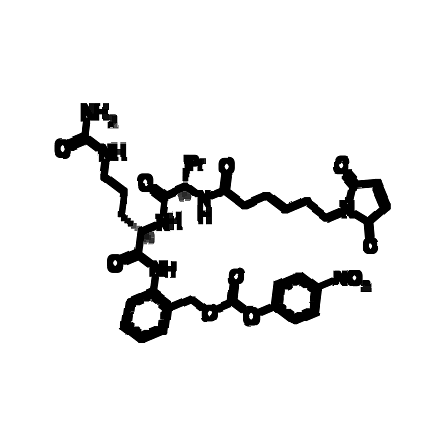 CC(C)[C@H](NC(=O)CCCCCN1C(=O)C=CC1=O)C(=O)N[C@@H](CCCNC(N)=O)C(=O)Nc1ccccc1COC(=O)Oc1ccc([N+](=O)[O-])cc1